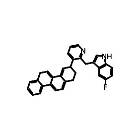 Fc1ccc2[nH]cc(Cc3ncccc3C3C=c4c(ccc5c4=CCc4ccccc4-5)CC3)c2c1